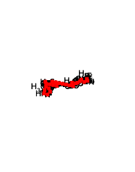 C[C@@H]1CN(CCCCCOc2ccc(S(=O)(=O)CC(C)(O)C(=O)Nc3ccc(C#N)c(C(F)(F)F)c3)cc2)CCN1c1cc(C2([S@](C)(=N)=O)CC2)nc(-c2ccnc3[nH]ccc23)n1